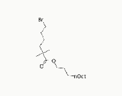 CCCCCCCCCCCOC(=O)C(C)(C)CCCCBr